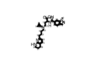 Cn1ncc2ccc(C(=O)NC(CCN(CCCCc3ccc4c(n3)NCCC4)C3CC3)C(=O)O)cc21